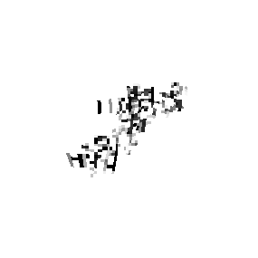 CNC(C)(C)C(=O)N[C@H]1CC[C@H](NC(=O)c2cc(-c3ccnc(OC)c3)n3ncnc(N)c23)CC1